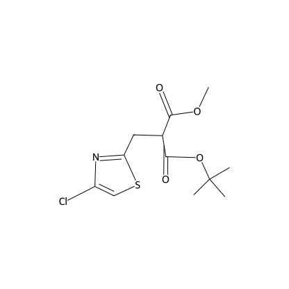 COC(=O)C(Cc1nc(Cl)cs1)C(=O)OC(C)(C)C